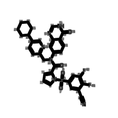 N#Cc1cc(S(=O)(=O)n2cccc2C(=O)N(Cc2ccc(C3CCCCC3)cn2)c2ccc3c(=O)[nH]cnc3c2)cc(F)c1F